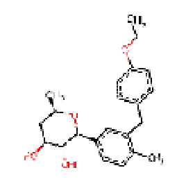 CCOc1ccc(Cc2cc([C@@H]3O[C@H](C)C[C@H](O)[C@H]3O)ccc2C)cc1